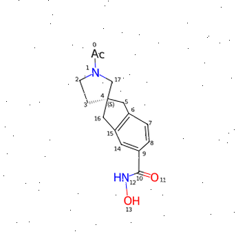 CC(=O)N1CC[C@@]2(Cc3ccc(C(=O)NO)cc3C2)C1